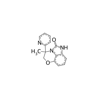 CC1(c2ccccn2)COc2cccc3[nH]c(=O)n1c23